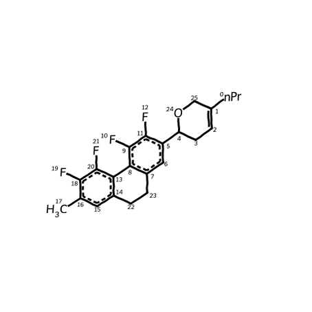 CCCC1=CCC(c2cc3c(c(F)c2F)-c2c(cc(C)c(F)c2F)CC3)OC1